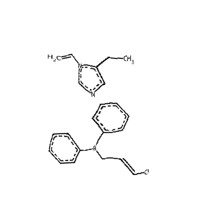 C=Cn1cncc1CC.ClC=CCB(c1ccccc1)c1ccccc1